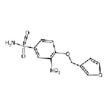 NS(=O)(=O)c1ccc(OCc2ccoc2)c([N+](=O)[O-])c1